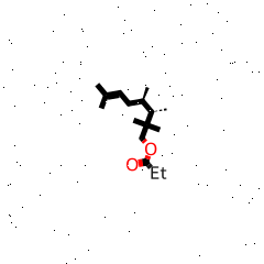 CCC(=O)OCC(C)(C)[C@@H](C)[C@H](C)CC=C(C)C